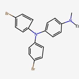 CCN(C)c1ccc(N(c2ccc(Br)cc2)c2ccc(Br)cc2)cc1